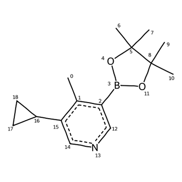 Cc1c(B2OC(C)(C)C(C)(C)O2)cncc1C1CC1